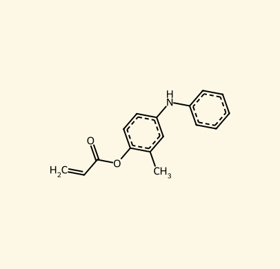 C=CC(=O)Oc1ccc(Nc2ccccc2)cc1C